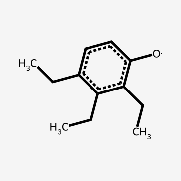 CCc1ccc([O])c(CC)c1CC